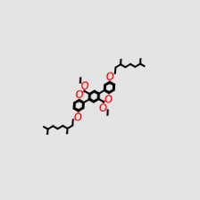 CCOC(=O)c1cc(-c2cccc(OCCC(C)CCCC(C)C)c2)c(C(=O)OCC)cc1-c1cccc(OCCC(C)CCCC(C)C)c1